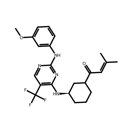 COc1cccc(Nc2ncc(C(F)(F)F)c(N[C@@H]3CCCC(C(=O)C=C(C)C)C3)n2)c1